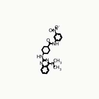 CN(C)c1nc(NC2CCC(C(=O)Nc3cccc([N+](=O)[O-])c3)CC2)nc2ccccc12